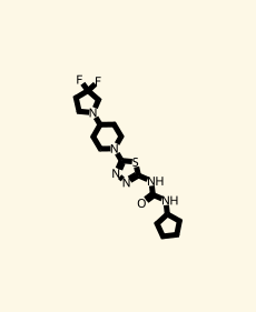 O=C(Nc1nnc(N2CCC(N3CCC(F)(F)C3)CC2)s1)NC1CCCC1